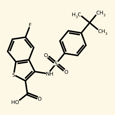 CC(C)(C)c1ccc(S(=O)(=O)Nc2c(C(=O)O)sc3ccc(F)cc23)cc1